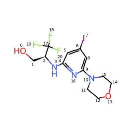 OC[C@H](Nc1cc(I)cc(N2CCOCC2)n1)C(F)(F)F